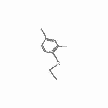 [CH2]CSc1ccc(C)cc1C